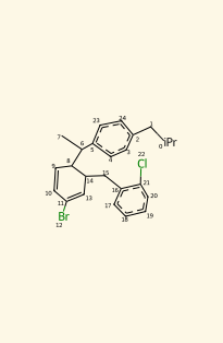 CC(C)Cc1ccc(C(C)C2C=CC(Br)=CC2Cc2ccccc2Cl)cc1